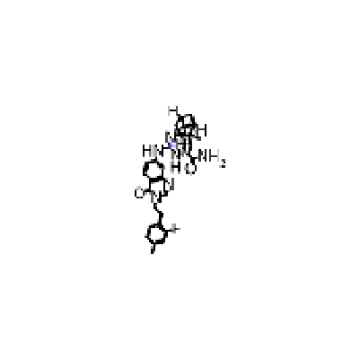 Cc1ccc(CCn2cnc3cc(N/C(=N/[C@H]4C[C@@H]5C[C@H]([C@@H]4C)C5(C)C)NNC(N)=O)ccc3c2=O)c(F)c1